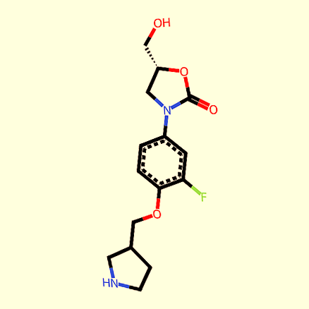 O=C1O[C@@H](CO)CN1c1ccc(OCC2CCNC2)c(F)c1